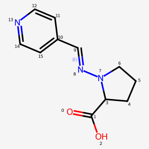 O=C(O)C1CCCN1/N=C/c1ccncc1